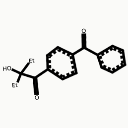 CCC(O)(CC)C(=O)c1ccc(C(=O)c2ccccc2)cc1